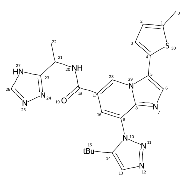 Cc1ccc(-c2cnc3c(-n4nncc4C(C)(C)C)cc(C(=O)NC(C)c4nnc[nH]4)cn23)s1